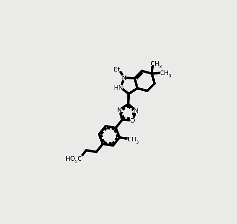 CCN1NC(c2noc(-c3ccc(CCC(=O)O)cc3C)n2)C2CCC(C)(C)C=C21